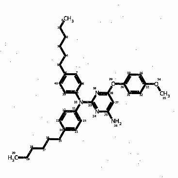 CCCCCCc1ccc(N(c2ccc(CCCCCC)cc2)c2nc(N)cc(Oc3ccc(OC)cc3)n2)cc1